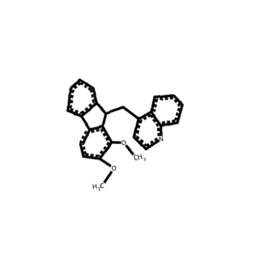 COc1ccc2c(c1OC)C(Cc1ccnc3ccccc13)c1ccccc1-2